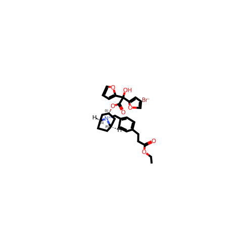 CCOC(=O)CCc1ccc(C[N+]2(C)[C@@H]3CC[C@H]2C[C@H](OC(=O)C(O)(c2ccco2)c2ccco2)C3)cc1.[Br-]